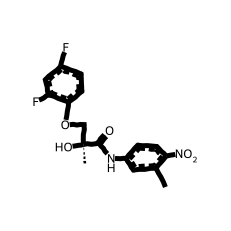 Cc1cc(NC(=O)[C@@](C)(O)COc2ccc(F)cc2F)ccc1[N+](=O)[O-]